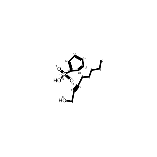 CCCCCC#CCO.O=S(=O)(O)c1ccccc1